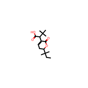 CCC(C)(C)C1CC=C(C(C(=O)O)C(C)(C)C)C(=O)O1